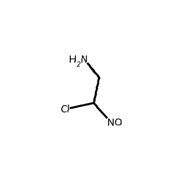 NCC(Cl)N=O